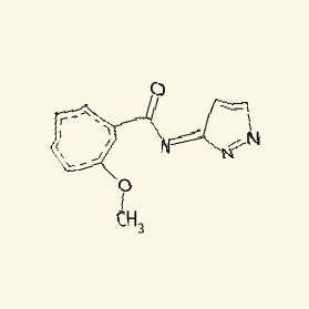 COc1ccccc1C(=O)N=C1C=CN=N1